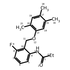 CCC(=O)Nc1cccc(F)c1COc1cc(C)c(C)cc1C